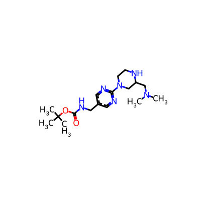 CN(C)CC1CN(c2ncc(CNC(=O)OC(C)(C)C)cn2)CCN1